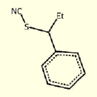 CCC(SC#N)c1ccccc1